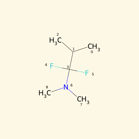 CC(C)C(F)(F)N(C)C